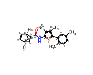 Cc1ccc(C)c(-c2sc(NC(=O)[C@@H]3C[C@H]4C=C[C@@H]3C4)c(C#N)c2C(F)(F)F)c1